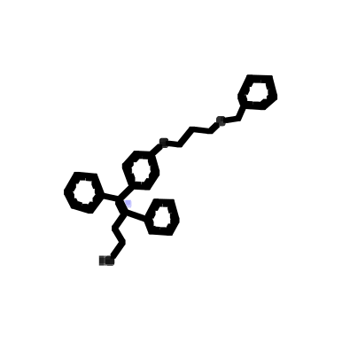 OCC/C(=C(\c1ccccc1)c1ccc(OCCCOCc2ccccc2)cc1)c1ccccc1